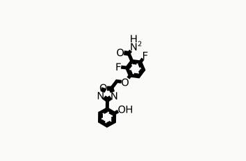 NC(=O)c1c(F)ccc(OCc2nc(-c3ccccc3O)no2)c1F